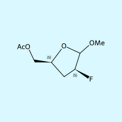 COC1O[C@H](COC(C)=O)C[C@@H]1F